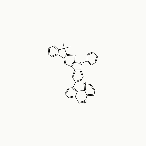 CC1(C)c2ccccc2-c2cc3c4cc(-c5cccc6cnc7cccnc7c56)ccc4n(-c4ccccc4)c3cc21